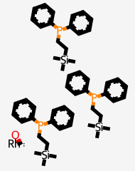 C[Si](C)(C)CCP(c1ccccc1)c1ccccc1.C[Si](C)(C)CCP(c1ccccc1)c1ccccc1.C[Si](C)(C)CCP(c1ccccc1)c1ccccc1.[C]=O.[Rh]